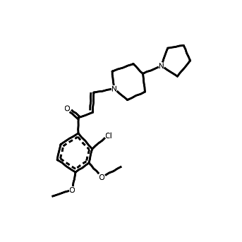 COc1ccc(C(=O)C=CN2CCC(N3CCCC3)CC2)c(Cl)c1OC